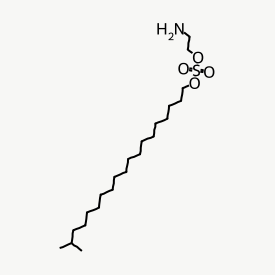 CC(C)CCCCCCCCCCCCCCCCCOS(=O)(=O)OCCN